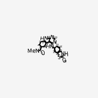 CNC(=O)C1CCc2[nH]c3ncnc(Nc4ccc5[nH]c(=O)sc5c4)c3c2C1